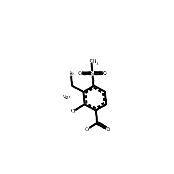 CS(=O)(=O)c1ccc(C(=O)[O-])c(Cl)c1CBr.[Na+]